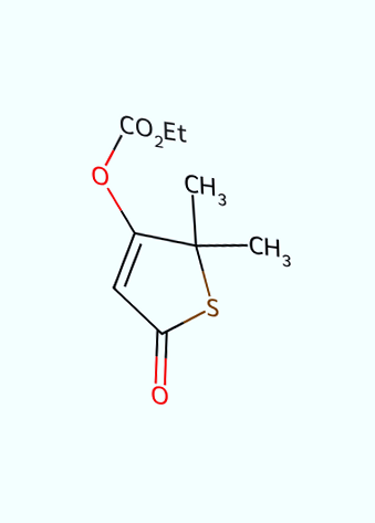 CCOC(=O)OC1=CC(=O)SC1(C)C